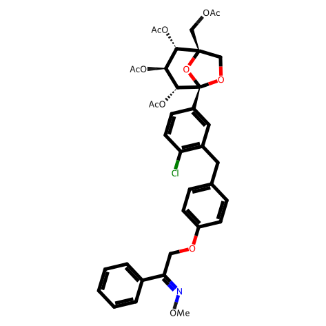 CON=C(COc1ccc(Cc2cc([C@]34OC[C@](COC(C)=O)(O3)[C@@H](OC(C)=O)[C@H](OC(C)=O)[C@H]4OC(C)=O)ccc2Cl)cc1)c1ccccc1